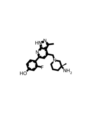 Cc1n[nH]c2nc(-c3ccc(O)cc3F)cc(CN3CCC[C@@](C)(N)C3)c12